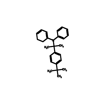 CC(C)(C)c1ccc(C(C)(C)N(C2=CC=CCC2)c2ccccc2)cc1